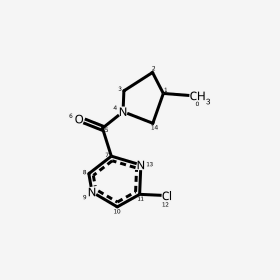 CC1CCN(C(=O)c2cncc(Cl)n2)C1